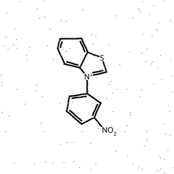 O=[N+]([O-])c1cccc(-[n+]2csc3ccccc32)c1